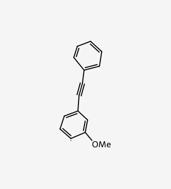 COc1[c]ccc(C#Cc2ccccc2)c1